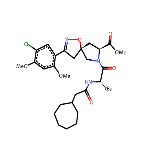 COC(=O)[C@@H]1C[C@]2(CC(c3cc(Cl)c(OC)cc3OC)=NO2)CN1C(=O)[C@@H](NC(=O)CC1CCCCCC1)C(C)(C)C